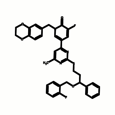 Cc1cc(-c2cc(F)c(=O)n(Cc3ccc4c(c3)OCCO4)c2)nc(SCCC(OCc2ccccc2F)c2ccccc2)n1